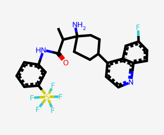 CC(C(=O)Nc1cccc(S(F)(F)(F)(F)F)c1)C1(N)CCC(c2ccnc3ccc(F)cc23)CC1